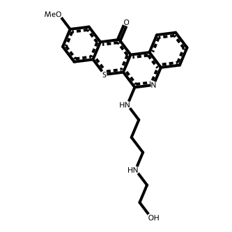 COc1ccc2sc3c(NCCCNCCO)nc4ccccc4c3c(=O)c2c1